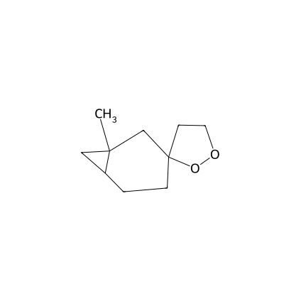 CC12CC1CCC1(CCOO1)C2